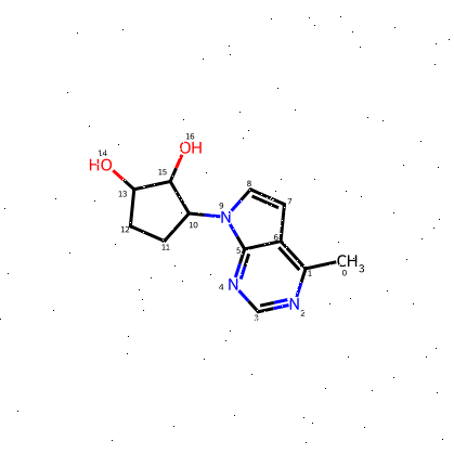 Cc1ncnc2c1ccn2C1CCC(O)C1O